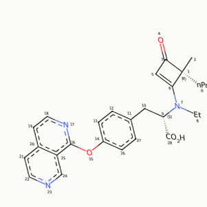 CCC[C@@]1(C)C(=O)C=C1N(CC)[C@@H](Cc1ccc(Oc2nccc3ccncc23)cc1)C(=O)O